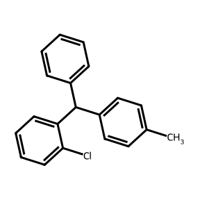 Cc1ccc(C(c2ccccc2)c2ccccc2Cl)cc1